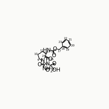 NP(=O)(NS(=O)(=O)O)N1CCC[C@@H](NC(=O)OCc2ccccc2)C1=O